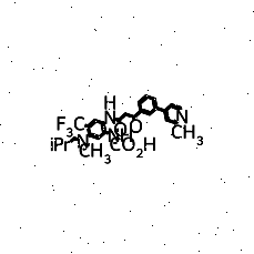 Cc1cc(-c2cccc(C(=O)CC(=O)Nc3cc(C(F)(F)F)c(N(C)CC(C)C)cc3NC(=O)O)c2)ccn1